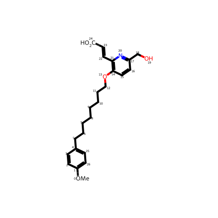 COc1ccc(CCCCCCCCOc2ccc(CO)nc2C=CC(=O)O)cc1